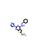 O=[N+]([O-])c1cc2c(NCc3ccccc3)nc(-n3ccnc3)nc2s1